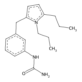 CCCc1ccc(Cc2cccc(NC(N)=O)c2)n1CCC